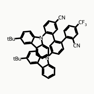 CC(C)(C)c1ccc2c(c1)c1ccccc1n2-c1ccc(-c2ccc(C(F)(F)F)cc2C#N)c(-c2cc(C#N)ccc2-n2c3ccccc3c3cc(C(C)(C)C)ccc32)c1